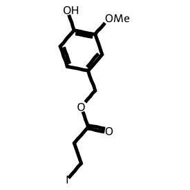 COc1cc(COC(=O)CCI)ccc1O